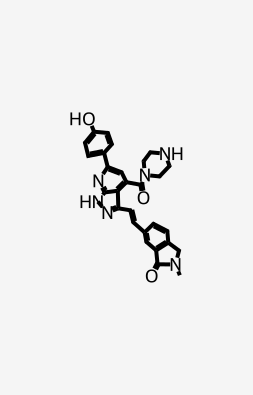 CN1Cc2ccc(C=Cc3n[nH]c4nc(-c5ccc(O)cc5)cc(C(=O)N5CCNCC5)c34)cc2C1=O